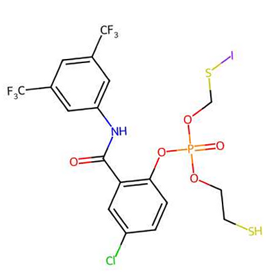 O=C(Nc1cc(C(F)(F)F)cc(C(F)(F)F)c1)c1cc(Cl)ccc1OP(=O)(OCCS)OCSI